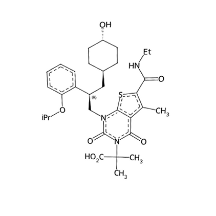 CCNC(=O)c1sc2c(c1C)c(=O)n(C(C)(C)C(=O)O)c(=O)n2C[C@H](C[C@H]1CC[C@H](O)CC1)c1ccccc1OC(C)C